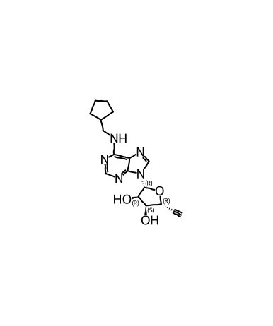 C#C[C@H]1O[C@@H](n2cnc3c(NCC4CCCC4)ncnc32)[C@H](O)[C@@H]1O